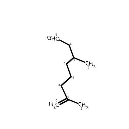 C=C(C)CCCC(C)CC=O